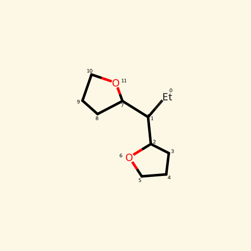 CC[C](C1CCCO1)C1CCCO1